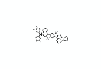 Cc1ccc(N(c2ccc(C)c(C)c2)c2cc3c(c4ccccc24)-c2cc4c(cc2C3(C)C)-c2c(cc3c5c(cccc25)-c2ccccc2-3)C4(C)C)cc1C